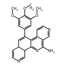 COc1cc(C2=CC3C=CN=CC3c3nc(N)c4cnccc4c32)cc(OC)c1OC